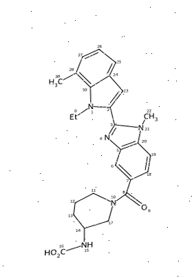 CCn1c(-c2nc3cc(C(=O)N4CCCC(NC(=O)O)C4)ccc3n2C)cc2cccc(C)c21